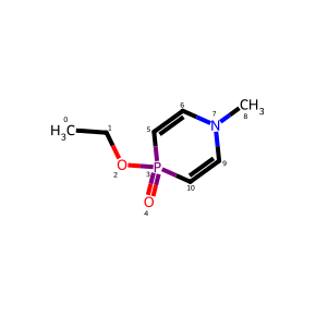 CCOP1(=O)C=CN(C)C=C1